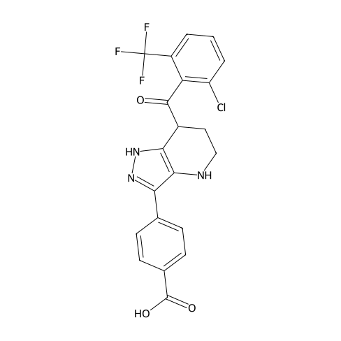 O=C(O)c1ccc(-c2n[nH]c3c2NCCC3C(=O)c2c(Cl)cccc2C(F)(F)F)cc1